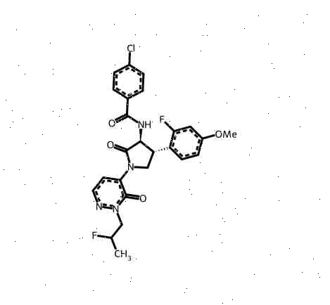 COc1ccc([C@@H]2CN(c3ccnn(CC(C)F)c3=O)C(=O)[C@H]2NC(=O)c2ccc(Cl)cc2)c(F)c1